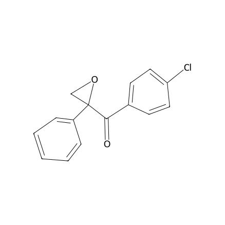 O=C(c1ccc(Cl)cc1)C1(c2ccccc2)CO1